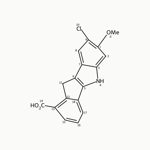 COc1cc2[nH]c3c(c2cc1Cl)Cc1c(C(=O)O)cccc1-3